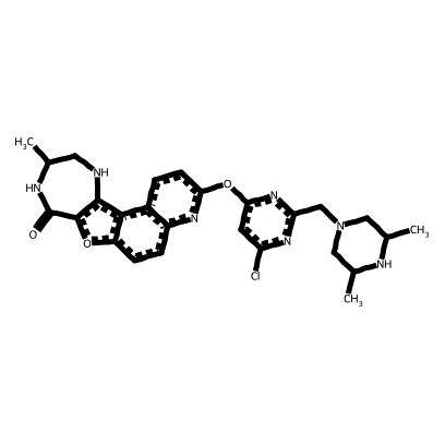 CC1CNc2c(oc3ccc4nc(Oc5cc(Cl)nc(CN6CC(C)NC(C)C6)n5)ccc4c23)C(=O)N1